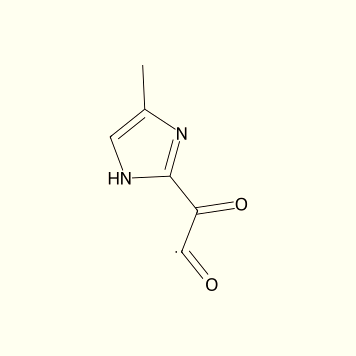 Cc1c[nH]c(C(=O)[C]=O)n1